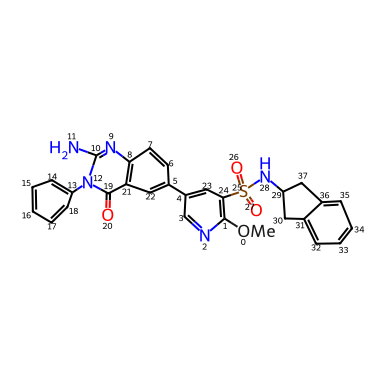 COc1ncc(-c2ccc3nc(N)n(-c4ccccc4)c(=O)c3c2)cc1S(=O)(=O)NC1Cc2ccccc2C1